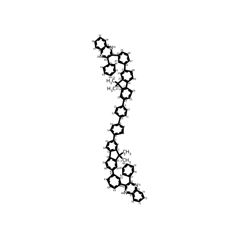 CC1(C)c2cc(-c3ccc(-c4ccc(-c5ccc6c(c5)C(C)(C)c5cc(-c7cccc(-c8nc9ccccc9nc8-c8ccccc8)c7)ccc5-6)cc4)cc3)ccc2-c2ccc(-c3cccc(-c4nc5ccccc5nc4-c4ccccc4)c3)cc21